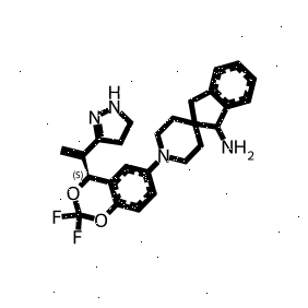 C=C(C1=NNCC1)[C@@H]1OC(F)(F)Oc2ccc(N3CCC4(CC3)Cc3ccccc3C4N)cc21